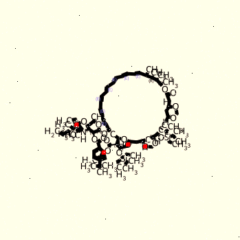 C=CCOC(=O)N[C@@H]1[C@H](OC(=O)c2ccc(C(C)(C)C)cc2)[C@H](O[C@H]2/C=C/C=C/C=C/C=C/C=C/C=C/C=C/C(C)[C@@H](C)[C@@H](C)[C@H](C)OC(=O)C[C@H]3C[C@@H](CC[C@@H](O[Si](CC)(CC)C(C)C)[C@H]4C[C@@H](C[C@]5(O)C[C@H](O[Si](CC)(CC)C(C)C)[C@@H](C(=O)OCC=C)C(C2)O5)OCO4)OCO3)O[C@H](C)[C@H]1O[Si](CC)(CC)C(C)C